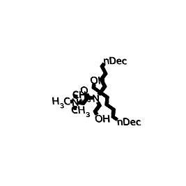 CCCCCCCCCCCCCCC(CO)(CCCCCCCCCCCCCC)N(CCO)C(=O)C[N+](C)(C)C